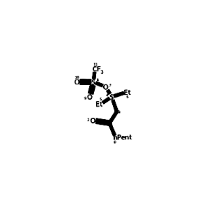 CCCCCC(=O)CS(CC)(CC)OS(=O)(=O)C(F)(F)F